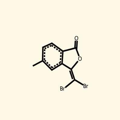 Cc1ccc2c(c1)C(=C(Br)Br)OC2=O